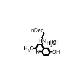 CCCCCCCCCCCCNc1cc(C)nc2ccc(O)cc12.Cl.O